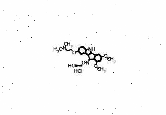 C#CCON=C1c2c(OC)cc(OC)cc2-c2[nH]c3ccc(OCCN(C)C)cc3c21.Cl